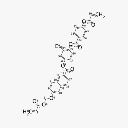 C=CC(=O)OCOc1ccc2cc(C(=O)Oc3ccc(OC(=O)c4ccc(OC(=O)C=C)cc4)c(CC)c3)ccc2c1